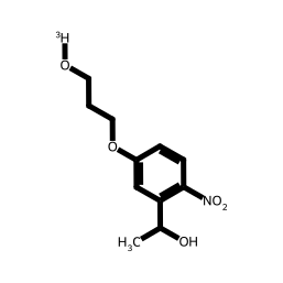 [3H]OCCCOc1ccc([N+](=O)[O-])c(C(C)O)c1